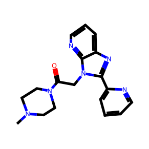 CN1CCN(C(=O)Cn2c(-c3ccccn3)nc3cccnc32)CC1